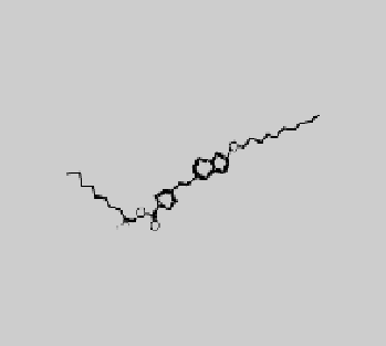 CCCCCCCCCCOc1ccc2cc(CCc3ccc(C(=O)OC[C@H](C)CCCCCCCC)cc3)ccc2c1